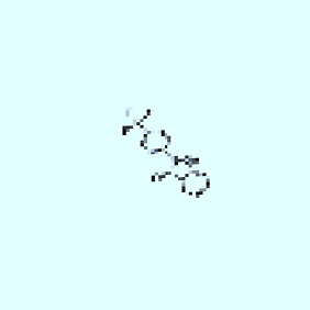 O=c1c2ccccc2[se]n1-c1ccc(C(F)(F)F)cc1